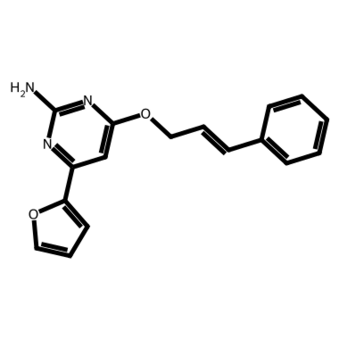 Nc1nc(OCC=Cc2ccccc2)cc(-c2ccco2)n1